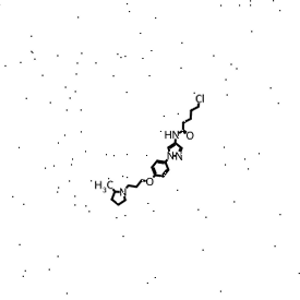 CC1CCCN1CCCOc1ccc(-n2cc(NC(=O)CCCCCl)cn2)cc1